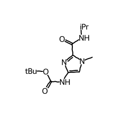 CC(C)NC(=O)c1nc(NC(=O)OC(C)(C)C)cn1C